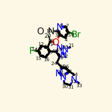 C[C@@H](Oc1cc(Br)cnc1[N+](=O)[O-])c1cc(F)ccc1-c1nn(C)nc1Cc1cc2n(n1)CCN(C)C2